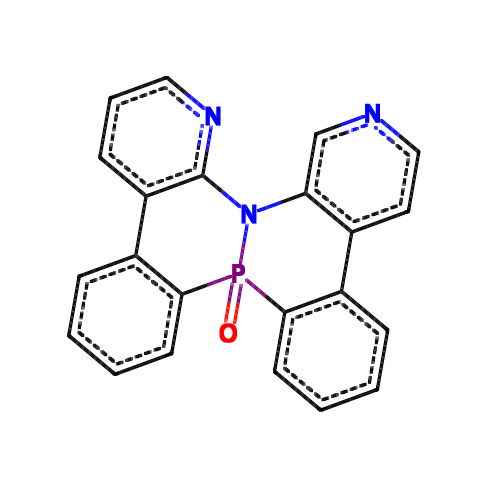 O=P12c3ccccc3-c3ccncc3N1c1ncccc1-c1ccccc12